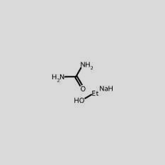 CCO.NC(N)=O.[NaH]